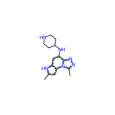 Cc1cc2c(cc(NC3CCNCC3)c3nnc(C)n32)[nH]1